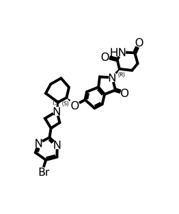 O=C1CC[C@@H](N2Cc3cc(O[C@H]4CCCC[C@@H]4N4CC(c5ncc(Br)cn5)C4)ccc3C2=O)C(=O)N1